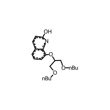 CCCCOCC(COCCCC)Oc1cccc2ccc(O)nc12